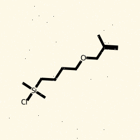 C=C(C)COCCCC[Si](C)(C)Cl